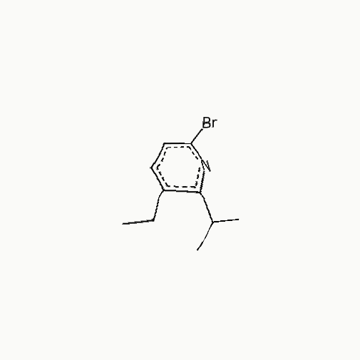 CCc1ccc(Br)nc1C(C)C